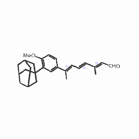 COc1ccc(/C(C)=C/C=C/C(C)=C/C=O)cc1C12CC3CC(CC(C3)C1)C2